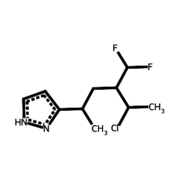 CC(CC(C(F)F)C(C)Cl)c1cc[nH]n1